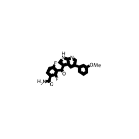 COc1cccc(-c2cnc3[nH]cc(C(=O)c4c(F)ccc(C(N)=O)c4F)c3c2)c1